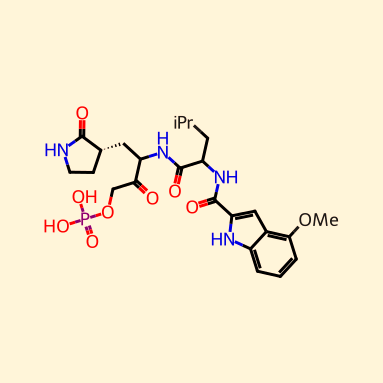 COc1cccc2[nH]c(C(=O)NC(CC(C)C)C(=O)NC(C[C@@H]3CCNC3=O)C(=O)COP(=O)(O)O)cc12